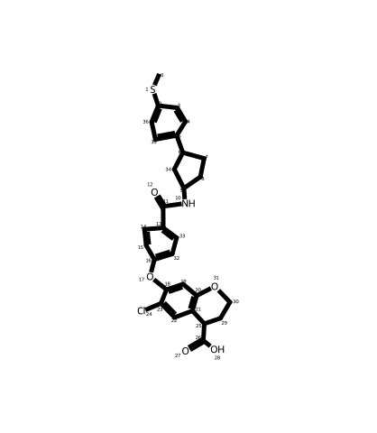 CSc1ccc(C2CCC(NC(=O)c3ccc(Oc4cc5c(cc4Cl)C(C(=O)O)CCO5)cc3)C2)cc1